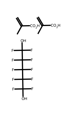 C=C(C)C(=O)O.C=C(C)C(=O)O.OC(F)(F)C(F)(F)C(F)(F)C(F)(F)C(O)(F)F